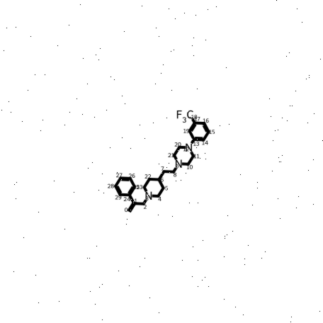 C=C(CN1CCC(CCN2CCN(c3cccc(C(F)(F)F)c3)CC2)CC1)c1ccccc1